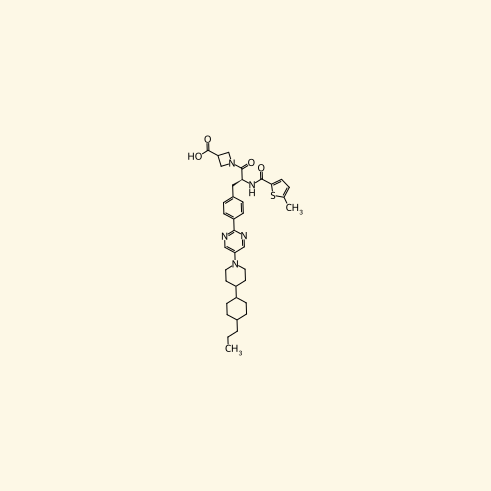 CCCC1CCC(C2CCN(c3cnc(-c4ccc(C[C@H](NC(=O)c5ccc(C)s5)C(=O)N5CC(C(=O)O)C5)cc4)nc3)CC2)CC1